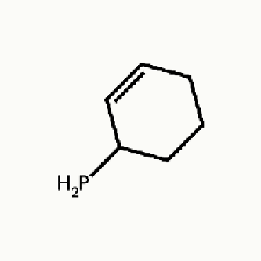 PC1C=CCCC1